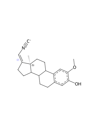 [C-]#[N+]/C=C1/CCC2C3CCc4cc(O)c(OC)cc4C3CC[C@]12C